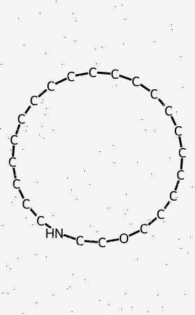 C1CCCCCCCCCCOCCNCCCCCCCCC1